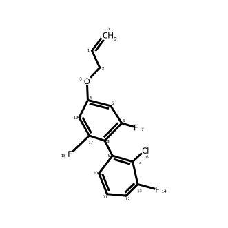 C=CCOc1cc(F)c(-c2[c]ccc(F)c2Cl)c(F)c1